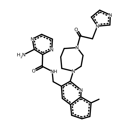 Cc1cccc2cc(CNC(=O)c3nccnc3N)c(N3CCCN(C(=O)Cn4ccnc4)CC3)nc12